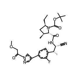 CC[C@@H]1C[C@H](C)[C@@H](C(=O)N[C@H](C#N)[C@H](C)c2ccc(-c3cnn(C(=O)COC)c3)cc2F)N1C(=O)OC(C)(C)C